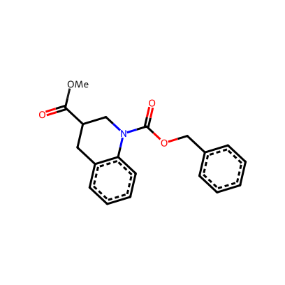 COC(=O)C1Cc2ccccc2N(C(=O)OCc2ccccc2)C1